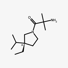 CC[C@]1(C(C)C)CCN(C(=O)C(C)(C)N)C1